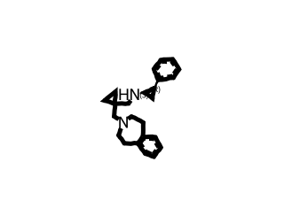 c1ccc([C@H]2C[C@@H]2NCC2(CN3CCc4ccccc4CC3)CC2)cc1